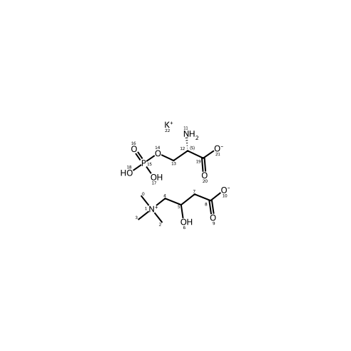 C[N+](C)(C)CC(O)CC(=O)[O-].N[C@@H](COP(=O)(O)O)C(=O)[O-].[K+]